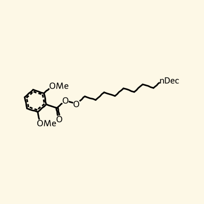 [CH2]CCCCCCCCCCCCCCCCCOOC(=O)c1c(OC)cccc1OC